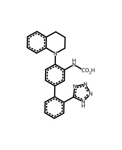 O=C(O)Nc1cc(-c2ccccc2-c2nnn[nH]2)ccc1N1CCCc2ccccc21